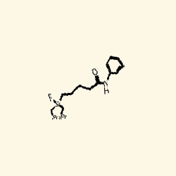 CC(C)C[Si](F)(CCCCC(=O)Nc1ccccc1)CC(C)C